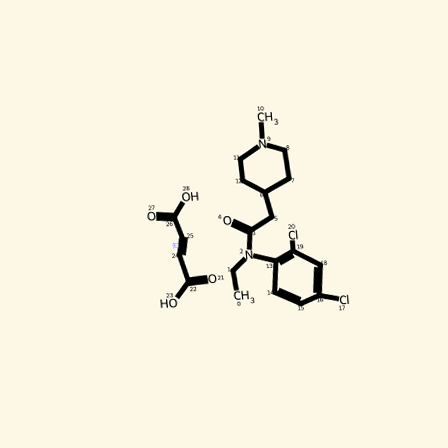 CCN(C(=O)CC1CCN(C)CC1)c1ccc(Cl)cc1Cl.O=C(O)/C=C/C(=O)O